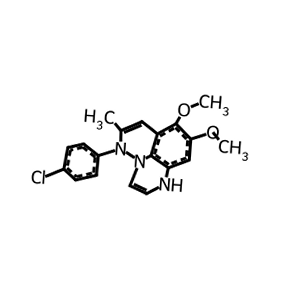 COc1cc2c3c(c1OC)C=C(C)N(c1ccc(Cl)cc1)N3C=CN2